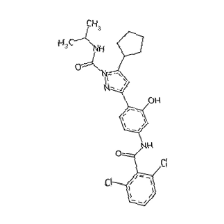 CC(C)NC(=O)n1nc(-c2ccc(NC(=O)c3c(Cl)cccc3Cl)cc2O)cc1C1CCCC1